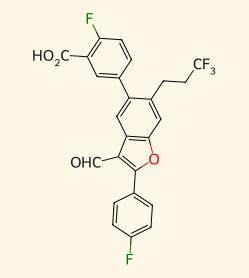 O=Cc1c(-c2ccc(F)cc2)oc2cc(CCC(F)(F)F)c(-c3ccc(F)c(C(=O)O)c3)cc12